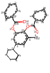 CCCCc1cc(C2CCCCC2)cc(OC(=O)c2ccccc2)c1OC(=O)c1ccccc1